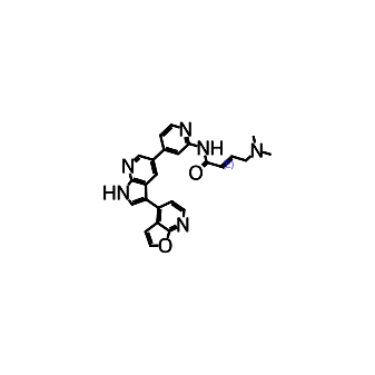 CN(C)C/C=C/C(=O)Nc1cc(-c2cnc3[nH]cc(-c4ccnc5occc45)c3c2)ccn1